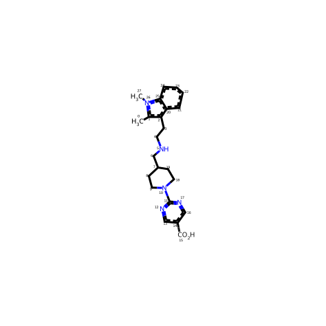 Cc1c(CCNCC2CCN(c3ncc(C(=O)O)cn3)CC2)c2ccccc2n1C